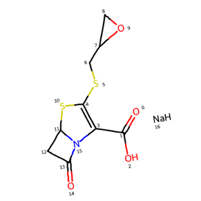 O=C(O)C1=C(SCC2CO2)SC2CC(=O)N12.[NaH]